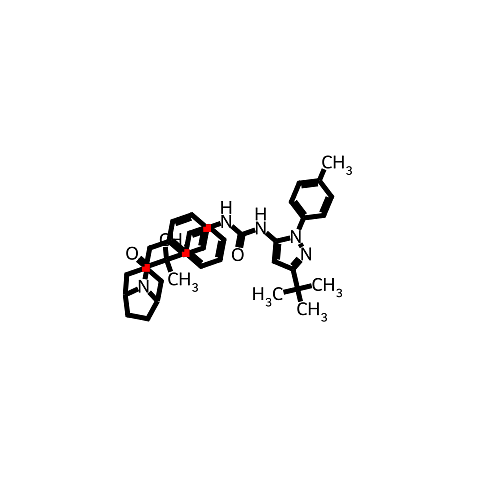 Cc1ccc(-n2nc(C(C)(C)C)cc2NC(=O)Nc2ccc(CC3CC4CCC(C3)N4C(=O)C(C)(C)c3ccccc3)cc2)cc1